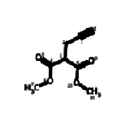 [C]#CCC(C(=O)OC)C(=O)OC